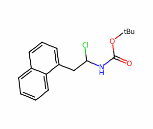 CC(C)(C)OC(=O)NC(Cl)Cc1cccc2ccccc12